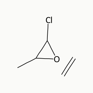 C=C.CC1OC1Cl